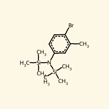 Cc1cc(N([Si](C)(C)C)[Si](C)(C)C)ccc1Br